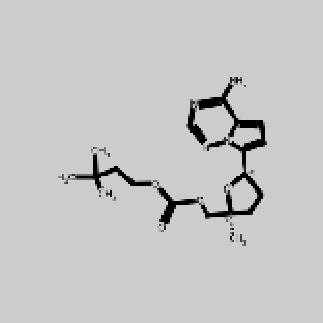 CC(C)(C)CCOC(=O)OC[C@]1(C)CC[C@H](c2ccc3c(N)ncnn23)O1